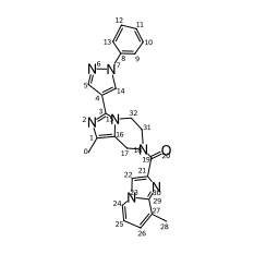 Cc1nc(-c2cnn(-c3ccccc3)c2)n2c1CN(C(=O)c1cn3cccc(C)c3n1)CC2